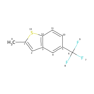 Cc1cc2cc(C(F)(F)F)ccc2s1